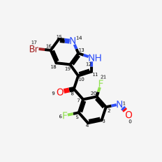 O=Nc1ccc(F)c(C(=O)c2c[nH]c3ncc(Br)cc23)c1F